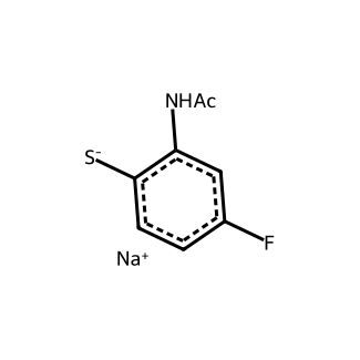 CC(=O)Nc1cc(F)ccc1[S-].[Na+]